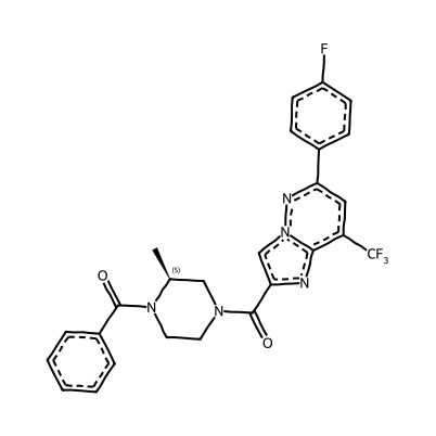 C[C@H]1CN(C(=O)c2cn3nc(-c4ccc(F)cc4)cc(C(F)(F)F)c3n2)CCN1C(=O)c1ccccc1